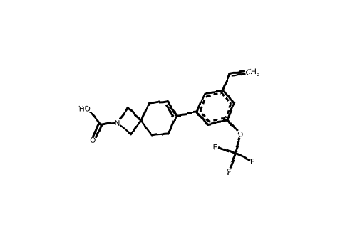 C=Cc1cc(OC(F)(F)F)cc(C2=CCC3(CC2)CN(C(=O)O)C3)c1